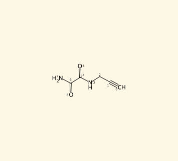 C#CCNC(=O)C(N)=O